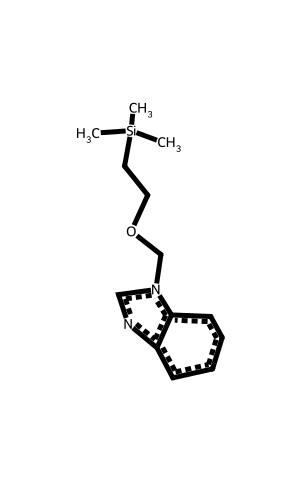 C[Si](C)(C)CCOCn1cnc2ccccc21